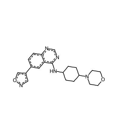 c1nc(NC2CCC(N3CCOCC3)CC2)c2cc(-c3cnoc3)ccc2n1